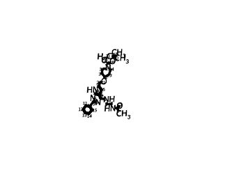 CC(=O)NCCNc1nc(-c2ccccc2)nc2[nH]c(COC3CCN(C(=O)OC(C)(C)C)CC3)cc12